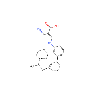 CC(Cc1cccc(-c2cccc(N/C=C(\C=N)C(=O)O)c2)c1)C1CCCCC1